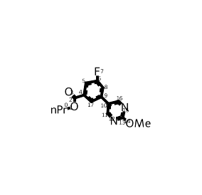 CCCOC(=O)c1cc(F)cc(-c2cnc(OC)nc2)c1